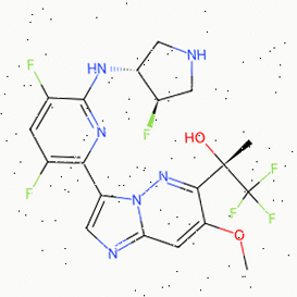 COc1cc2ncc(-c3nc(N[C@@H]4CNC[C@H]4F)c(F)cc3F)n2nc1[C@](C)(O)C(F)(F)F